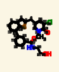 Cn1cc(Cc2cc3cccc(-c4cccc(C(=O)NCCO)c4)c3s2)cc(Cl)c1=O